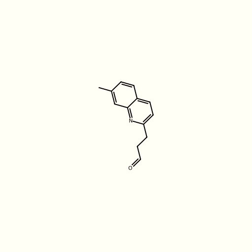 Cc1ccc2ccc(CCC=O)nc2c1